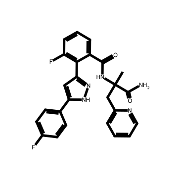 CC(Cc1ccccn1)(NC(=O)c1cccc(F)c1-c1cc(-c2ccc(F)cc2)[nH]n1)C(N)=O